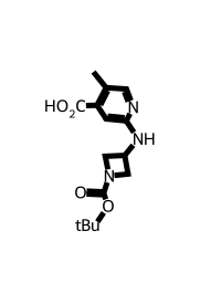 Cc1cnc(NC2CN(C(=O)OC(C)(C)C)C2)cc1C(=O)O